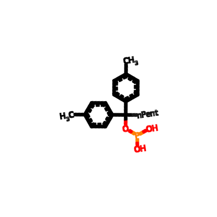 CCCCCC(OP(O)O)(c1ccc(C)cc1)c1ccc(C)cc1